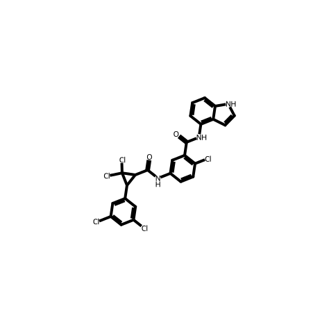 O=C(Nc1cccc2[nH]ccc12)c1cc(NC(=O)C2C(c3cc(Cl)cc(Cl)c3)C2(Cl)Cl)ccc1Cl